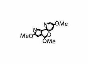 COC(=O)c1cc(OC)ncc1-c1ccc(OC)cn1